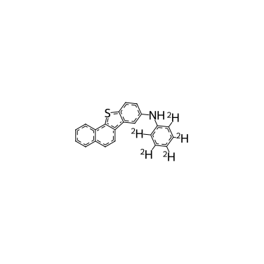 [2H]c1c([2H])c([2H])c(Nc2ccc3sc4c5ccccc5ccc4c3c2)c([2H])c1[2H]